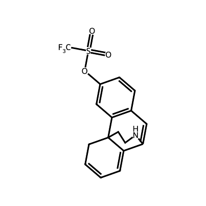 O=S(=O)(Oc1ccc2c(c1)C13CC=CC=C1C(=C2)NCC3)C(F)(F)F